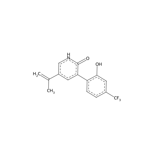 C=C(C)c1c[nH]c(=O)c(-c2ccc(C(F)(F)F)cc2O)c1